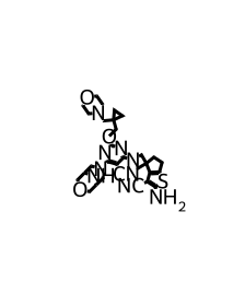 N#Cc1c(N2CC3COCC(C2)N3)nc(OCC2(CN3CCOCC3)CC2)nc1N1CC2(CCc3sc(N)c(C#N)c32)C1